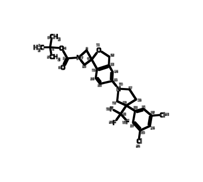 CC(C)(C)OC(=O)N1CC2(C1)OCc1cc(N3CCC(c4cc(Cl)cc(Cl)c4)(C(F)(F)F)C3)ccc12